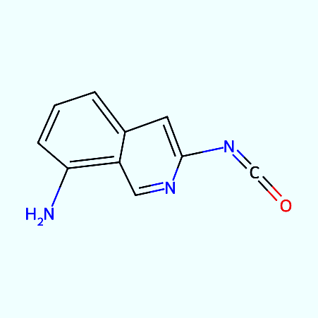 Nc1cccc2cc(N=C=O)ncc12